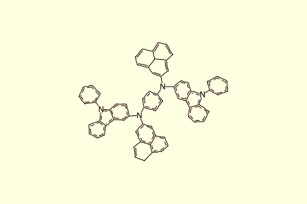 C1=CC2=CC=CC3=CC(N(c4ccc(N(c5cc6c7c(cccc7c5)CC=C6)c5ccc6c(c5)c5ccccc5n6-c5ccccc5)cc4)c4ccc5c(c4)c4ccccc4n5-c4ccccc4)=CC(=C1)C23